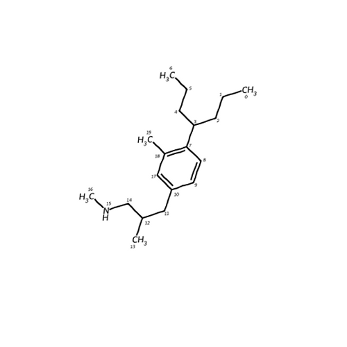 CCCC(CCC)c1ccc(CC(C)CNC)cc1C